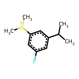 CC(C)c1cc(F)cc([SH](C)C)c1